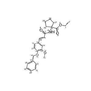 CCOC(=O)C1(NC(=O)/C=C/c2ccc(OCc3ccccc3)c(OC)c2)CCCC1